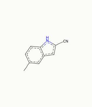 Cc1ccc2[nH]c(C#N)cc2c1